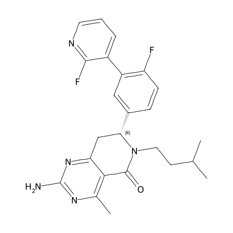 Cc1nc(N)nc2c1C(=O)N(CCC(C)C)[C@@H](c1ccc(F)c(-c3cccnc3F)c1)C2